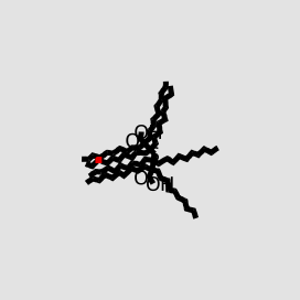 CCCCCCCCCCC(CCCCCCCCCC)(SC(CCCCCCCCCC)(CCCCCCCCCC)C(CCCCCCCCCC)(CCCCCCCCCC)C(=O)O)C(CCCCCCCCCC)(CCCCCCCCCC)C(=O)O